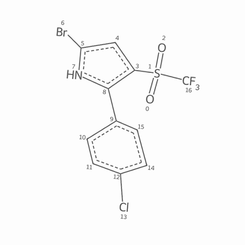 O=S(=O)(c1cc(Br)[nH]c1-c1ccc(Cl)cc1)C(F)(F)F